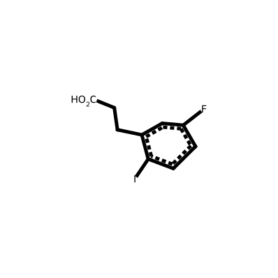 O=C(O)CCc1cc(F)ccc1I